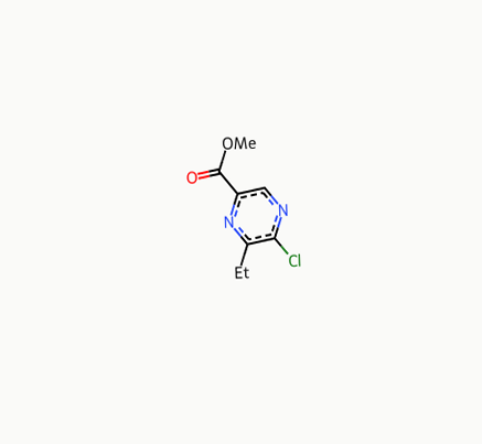 CCc1nc(C(=O)OC)cnc1Cl